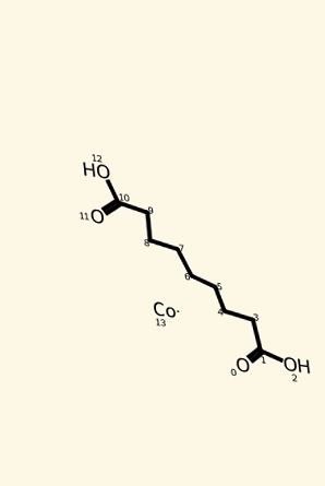 O=C(O)CCCCCCCC(=O)O.[Co]